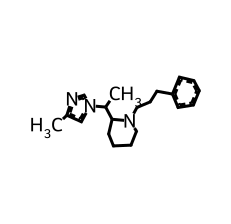 Cc1cn(C(C)C2CCCCN2CCCc2ccccc2)cn1